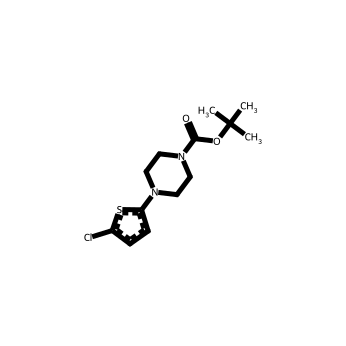 CC(C)(C)OC(=O)N1CCN(c2ccc(Cl)s2)CC1